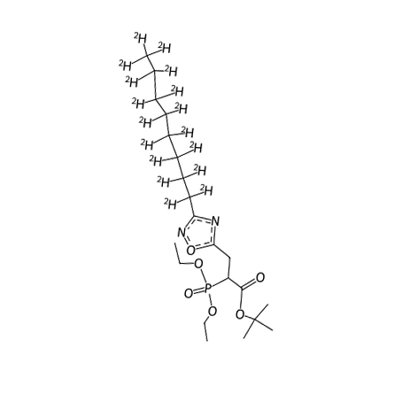 [2H]C([2H])([2H])C([2H])([2H])C([2H])([2H])C([2H])([2H])C([2H])([2H])C([2H])([2H])C([2H])([2H])C([2H])([2H])c1noc(CC(C(=O)OC(C)(C)C)P(=O)(OCC)OCC)n1